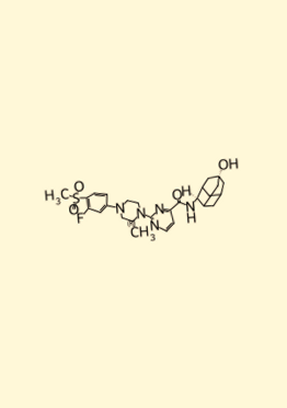 C[C@@H]1CN(c2ccc(S(C)(=O)=O)c(F)c2)CCN1c1nccc(C(=O)N[C@H]2C3CC4CC2C[C@](O)(C4)C3)n1